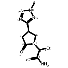 CCC(C(N)=O)N1CC(c2nnn(C)n2)CC1=O